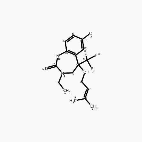 CCN1CC(OCC=C(C)C)(C(F)(F)F)c2cc(Cl)ccc2NC1=O